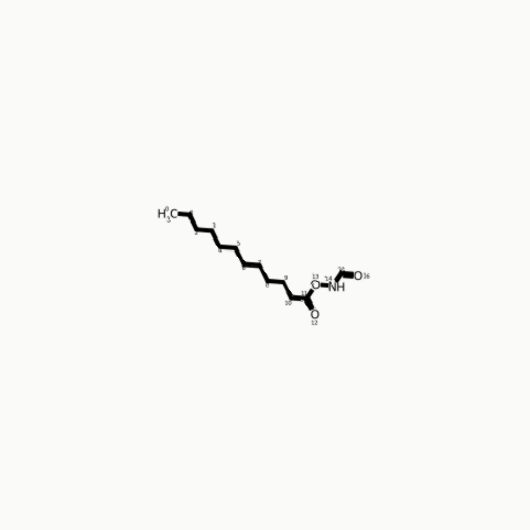 CCCCCCCCCCCC(=O)ONC=O